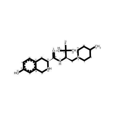 CC1CCN(C[C@@H](NC(=O)[C@H]2Cc3ccc(O)cc3CN2)C(C)(C)F)CC1